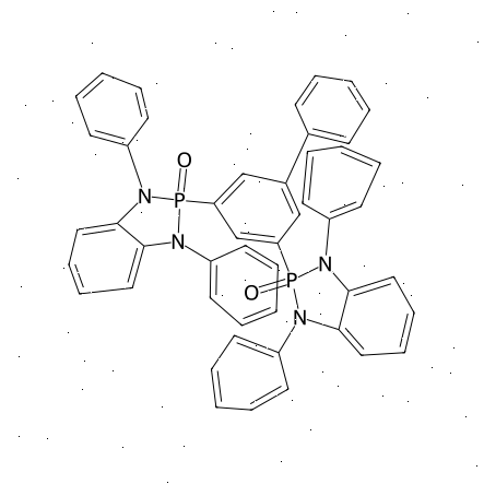 O=P1(c2cc(-c3ccccc3)cc(P3(=O)N(c4ccccc4)c4ccccc4N3c3ccccc3)c2)N(c2ccccc2)c2ccccc2N1c1ccccc1